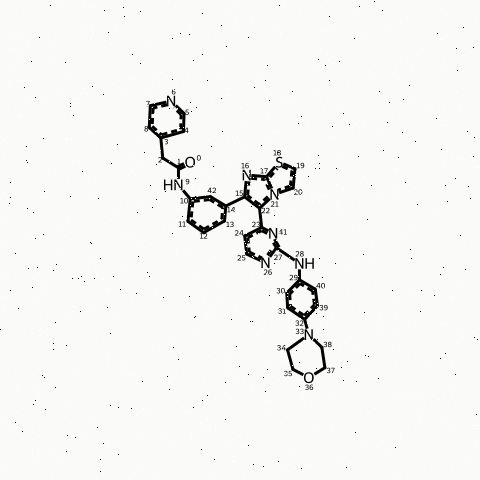 O=C(Cc1ccncc1)Nc1cccc(-c2nc3sccn3c2-c2ccnc(Nc3ccc(N4CCOCC4)cc3)n2)c1